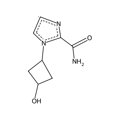 NC(=O)c1n[c]cn1C1CC(O)C1